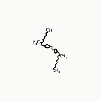 CCCCCCCCC(C)Cc1ccc(SSc2ccc(CC(C)CCCCCCCC)cc2)cc1